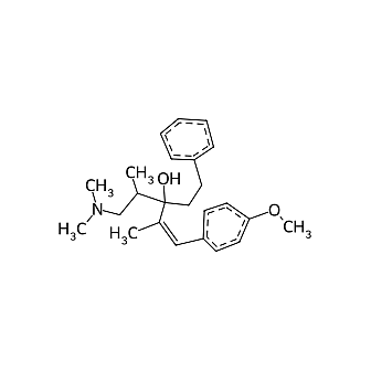 COc1ccc(C=C(C)C(O)(CCc2ccccc2)C(C)CN(C)C)cc1